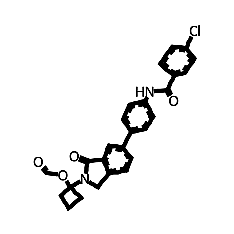 O=COC1(N2Cc3ccc(-c4ccc(NC(=O)c5ccc(Cl)cc5)cc4)cc3C2=O)CCC1